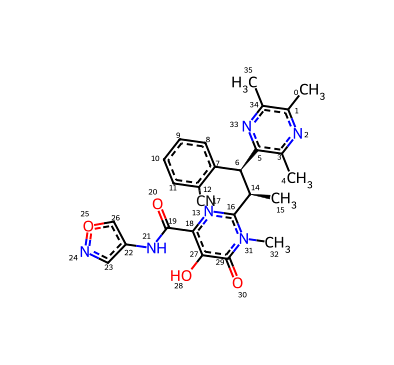 Cc1nc(C)c([C@H](c2ccccc2C#N)[C@@H](C)c2nc(C(=O)Nc3cnoc3)c(O)c(=O)n2C)nc1C